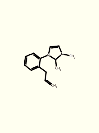 C=CCc1ccccc1N1C=CN(C)C1C